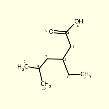 CCC(CC(=O)O)CC(C)C